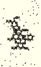 CNC1C(OC2OC(CO)[C@@H](N)C[C@@H]2O)O[C@H]2C[C@H](N)C(OC3C(N)CC(N)C(OC(=O)c4ccccc4)C3F)OC2C1O